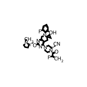 C=C(F)C(=O)N1CCN(c2nc(OC[C@@H]3CCCN3C)nc3c2CC2(CC2)N(c2c(O)cccc2F)C3)C[C@@H]1CC#N